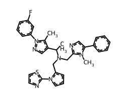 Cc1c(C(C)N(Cc2cccn2-c2nccs2)Cc2ncc(-c3ccccc3)n2C)cnn1-c1cccc(F)c1